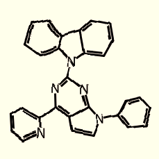 c1ccc(-n2ccc3c(-c4ccccn4)nc(-n4c5ccccc5c5ccccc54)nc32)cc1